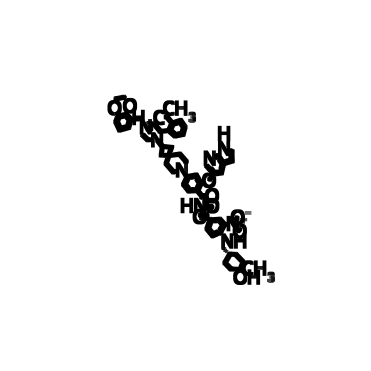 CC(C)c1ccccc1C1CN(Cc2cccc3c2OCCO3)CCN1C1CC2(CCN(c3ccc(C(=O)NS(=O)(=O)c4ccc(NC[C@H]5CC[C@](C)(O)CC5)c([N+](=O)[O-])c4)c(Oc4cnc5[nH]ccc5c4)c3)CC2)C1